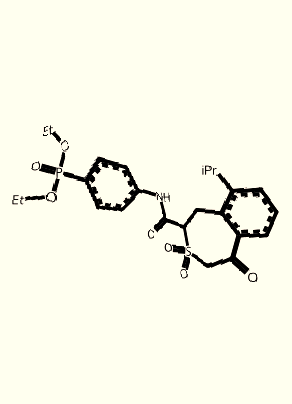 CCOP(=O)(OCC)c1ccc(NC(=O)C2Cc3c(cccc3C(C)C)C(=O)CS2(=O)=O)cc1